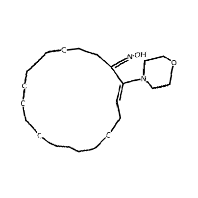 O/N=C1CCCCCCCCCCCCCC/C=C/1N1CCOCC1